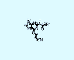 CC(C)C(=O)Nc1nc(OCCC#N)c2ncn(I)c2n1